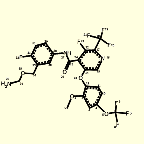 COc1cc(OC(F)(F)F)ccc1Oc1cnc(C(F)(F)F)c(F)c1C(=O)Nc1ccc(F)c(COCN)c1